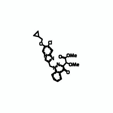 COC(=O)C(OC)c1nn(Cc2cn3cc(OCC4CC4)c(Cl)cc3n2)c2ccccc2c1=O